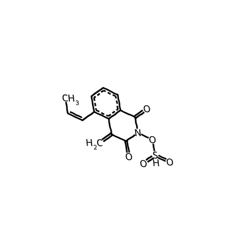 C=C1C(=O)N(O[SH](=O)=O)C(=O)c2cccc(/C=C\C)c21